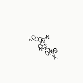 CCOC(CI)Cc1c(C)cc(C#N)nc1-c1ccnc2cc(CN3C(=O)C4C(C3=O)C4(C)C)sc12